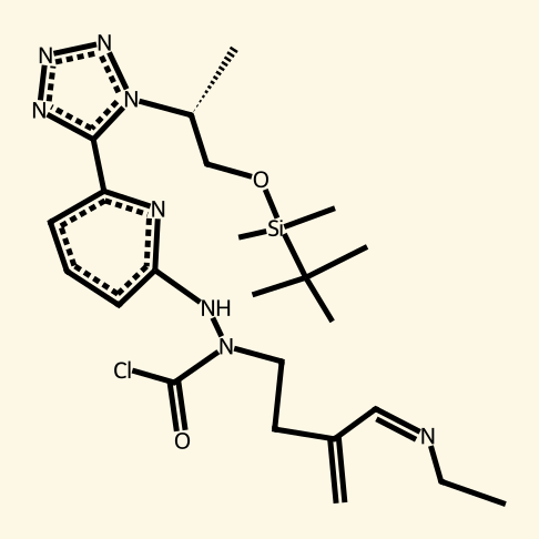 C=C(/C=N\CC)CCN(Nc1cccc(-c2nnnn2[C@H](C)CO[Si](C)(C)C(C)(C)C)n1)C(=O)Cl